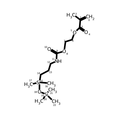 C=C(C)C(=O)OCCOC(=O)NCCC[Si](C)(C)O[Si](C)(C)C